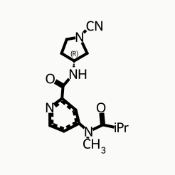 CC(C)C(=O)N(C)c1ccnc(C(=O)N[C@@H]2CCN(C#N)C2)c1